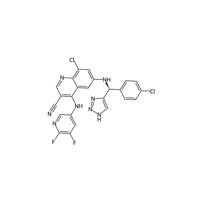 N#Cc1cnc2c(Cl)cc(N[C@@H](c3ccc(Cl)cc3)c3c[nH]nn3)cc2c1Nc1cnc(F)c(F)c1